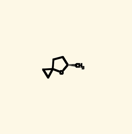 C[C@H]1CCC2(CC2)O1